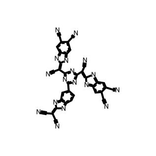 N#CC(C#N)=C1N=c2ccc(-c3nc(C(C#N)=C4N=c5cc(C#N)c(C#N)cc5=N4)nc(C(C#N)=C4N=c5cc(C#N)c(C#N)cc5=N4)n3)cc2=N1